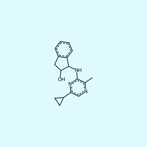 Cc1ncc(C2CC2)nc1NC1c2ccccc2CC1O